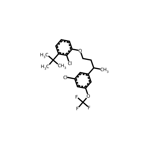 CC(CCOc1cccc(C(C)(C)C)c1Cl)c1cc(Cl)cc(OC(F)(F)F)c1